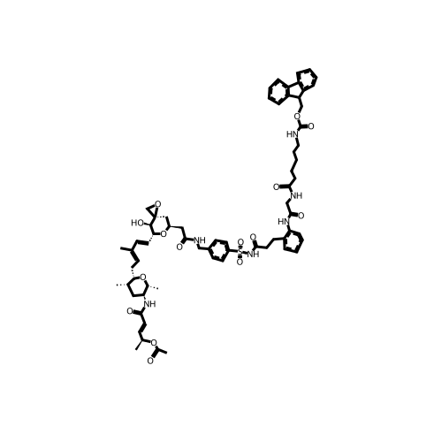 CC(=O)O[C@@H](C)C=CC(=O)N[C@@H]1C[C@H](C)[C@H](CC=C(C)C=C[C@H]2O[C@H](CC(=O)NCc3ccc(S(=O)(=O)NC(=O)CCc4ccccc4NC(=O)CNC(=O)CCCCCNC(=O)OCC4c5ccccc5-c5ccccc54)cc3)C[C@@]3(CO3)[C@@H]2O)O[C@@H]1C